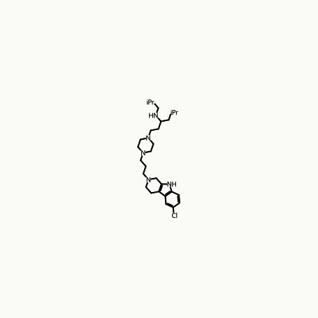 CC(C)CNC(CCN1CCN(CCCN2CCc3c([nH]c4ccc(Cl)cc34)C2)CC1)CC(C)C